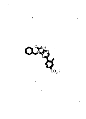 Cc1cc(C(=O)O)ccc1-c1cnc2[nH]c(=O)n(CC3CCCCC3)c2n1